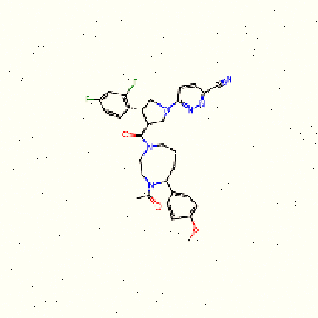 COc1ccc(C2CCCN(C(=O)[C@@H]3CN(c4ccc(C#N)nn4)C[C@H]3c3ccc(F)cc3F)CCN2C(C)=O)cc1